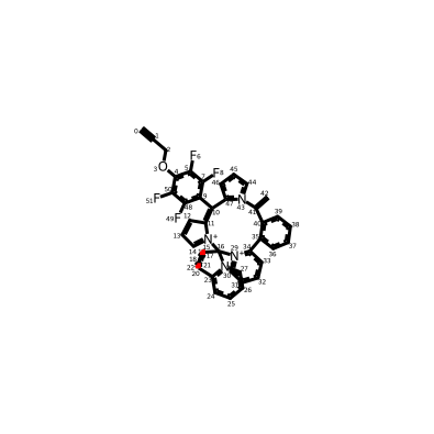 C#CCOc1c(F)c(F)c(/C2=C3\C=CC=[N+]3C3(c4ccccc4-c4cccc[n+]43)[n+]3ccccc3-c3ccccc3C(=C)n3cccc32)c(F)c1F